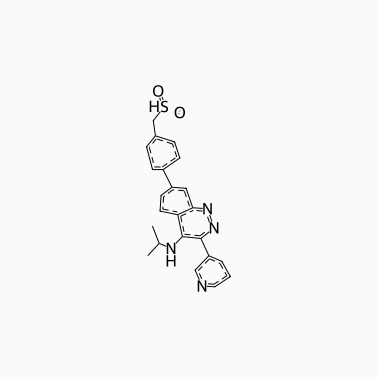 CC(C)Nc1c(-c2cccnc2)nnc2cc(-c3ccc(C[SH](=O)=O)cc3)ccc12